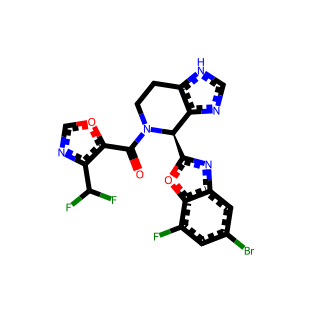 O=C(c1ocnc1C(F)F)N1CCc2[nH]cnc2[C@H]1c1nc2cc(Br)cc(F)c2o1